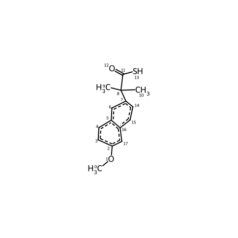 COc1ccc2cc(C(C)(C)C(=O)S)ccc2c1